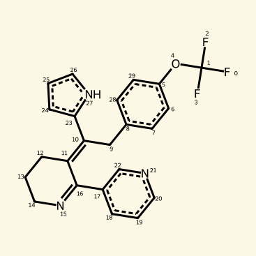 FC(F)(F)Oc1ccc(CC(=C2CCCN=C2c2cccnc2)c2ccc[nH]2)cc1